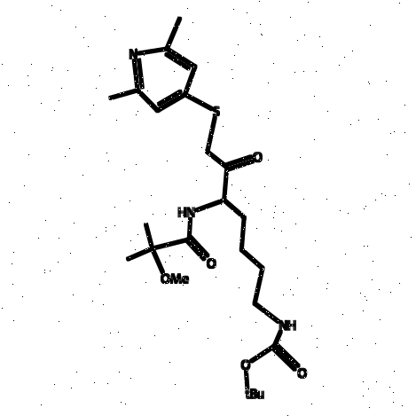 COC(C)(C)C(=O)NC(CCCCNC(=O)OC(C)(C)C)C(=O)CSc1cc(C)nc(C)c1